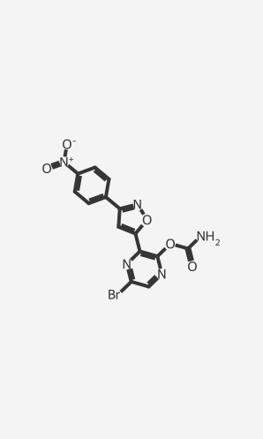 NC(=O)Oc1ncc(Br)nc1-c1cc(-c2ccc([N+](=O)[O-])cc2)no1